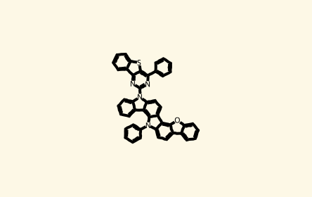 c1ccc(-c2nc(-n3c4ccccc4c4c3ccc3c5c6oc7ccccc7c6ccc5n(-c5ccccc5)c34)nc3c2sc2ccccc23)cc1